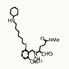 CNC(=O)CCC(C=O)N(C)Cc1c(C=O)cccc1SCCCCCCNC1CCCCC1